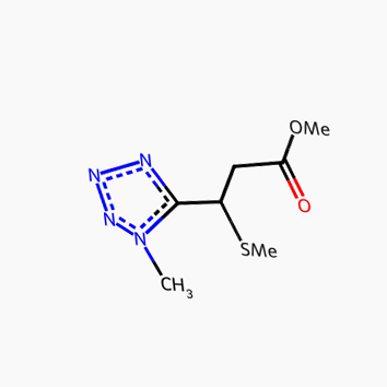 COC(=O)CC(SC)c1nnnn1C